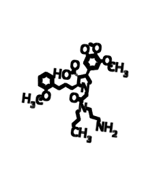 CCCCN(CCCN)C(=O)CN1C[C@H](c2cc(OC)c3c(c2)OCO3)[C@@H](C(=O)O)[C@@H]1CCCc1ccccc1OC